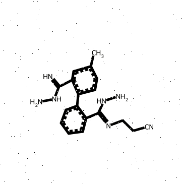 Cc1ccc(-c2ccccc2C(=NCCC#N)NN)c(C(=N)NN)c1